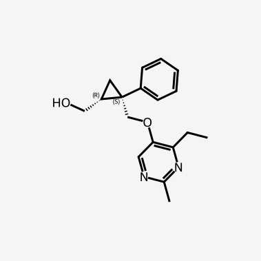 CCc1nc(C)ncc1OC[C@@]1(c2ccccc2)C[C@H]1CO